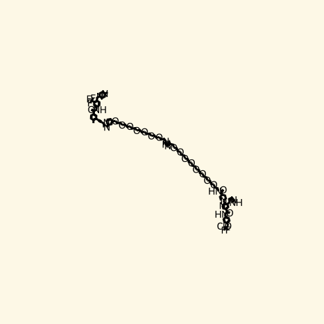 Cc1ccc(C(=O)Nc2ccc(CN3CCN(C)CC3)c(C(F)(F)F)c2)cc1C#Cc1cnc2cc(OCCOCCOCCOCCOCCOCCOCCn3cc(COCCOCCOCCOCCOCCOCCOCCOCCNC(=O)C4CCN(c5ncc(C(=O)Nc6ccc(OC(F)(F)Cl)cc6)cc5-c5ccn[nH]5)CC4)nn3)ccn12